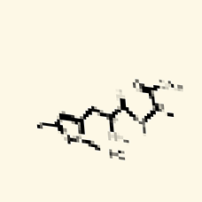 COC(=O)[C@@H](C)NC(=O)[C@@H](N)Cc1cc(C)nn1C.Cl